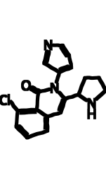 O=c1c2c(Cl)cccc2cc(C2CCCN2)n1-c1cccnc1